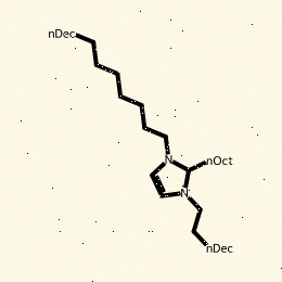 CCCCCCCCCCCCCCCCCN1C=CN(CCCCCCCCCCCC)C1CCCCCCCC